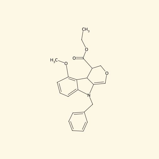 CCOC(=O)C1COC=C2C1c1c(OC)cccc1N2Cc1ccccc1